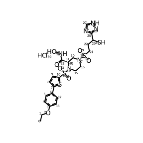 CCOc1ccc(-c2ccc(S(=O)(=O)N3CCN(S(=O)(=O)CCC(S)c4nc[nH]n4)C[C@@H]3C(=O)NO)s2)cc1.Cl